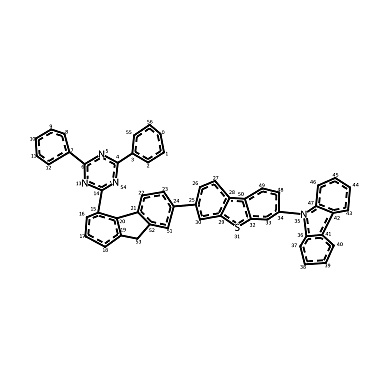 c1ccc(-c2nc(-c3ccccc3)nc(-c3cccc4c3-c3ccc(-c5ccc6c(c5)sc5cc(-n7c8ccccc8c8ccccc87)ccc56)cc3C4)n2)cc1